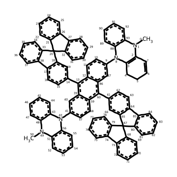 CN1C2=C(CCC=C2)N(c2ccc3c(-c4ccc5c(c4)C4(c6ccccc6-c6ccccc64)c4ccccc4-5)c4cc(N5c6ccccc6N(C)c6ccccc65)ccc4c(-c4ccc5c(c4)C4(c6ccccc6-c6ccccc64)c4ccccc4-5)c3c2)c2ccccc21